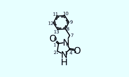 O=C1[CH]NC(=O)N1Cc1ccccc1